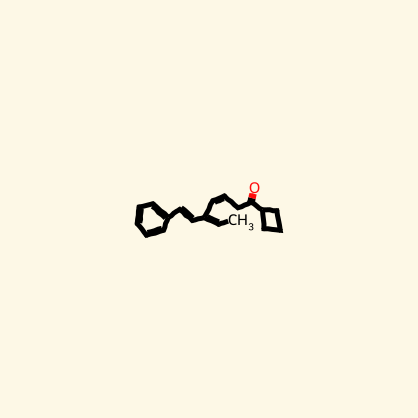 C/C=C(\C=C/CC(=O)C1CCC1)/C=C/c1ccccc1